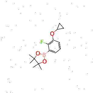 CC1(C)OB(c2cccc(OC3CC3)c2F)OC1(C)C